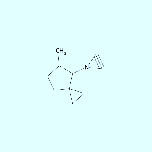 CC1CCC2(CC2)C1N1C#C1